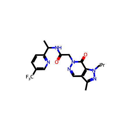 Cc1nn(C(C)C)c2c(=O)n(CC(=O)NC(C)c3ccc(C(F)(F)F)cn3)ncc12